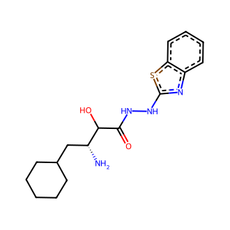 N[C@H](CC1CCCCC1)C(O)C(=O)NNc1nc2ccccc2s1